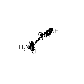 Nc1nc(Cl)cc2c1ncn2CCCCOC(=O)NCc1ccc2[nH]ccc2c1